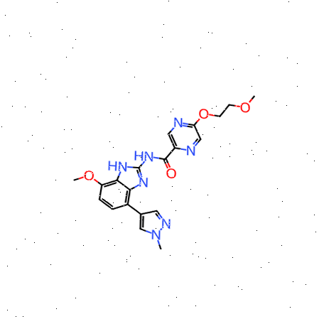 COCCOc1cnc(C(=O)Nc2nc3c(-c4cnn(C)c4)ccc(OC)c3[nH]2)cn1